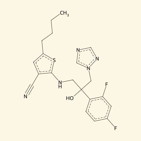 CCCCc1cc(C#N)c(NCC(O)(Cn2cncn2)c2ccc(F)cc2F)s1